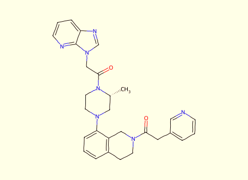 C[C@@H]1CN(c2cccc3c2CN(C(=O)Cc2cccnc2)CC3)CCN1C(=O)Cn1cnc2cccnc21